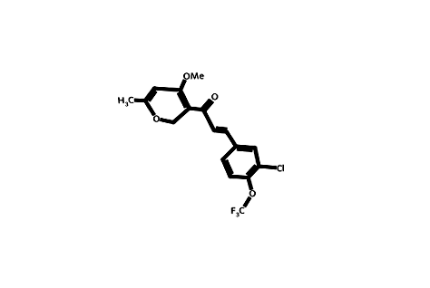 COC1=C(C(=O)/C=C/c2ccc(OC(F)(F)F)c(Cl)c2)COC(C)=C1